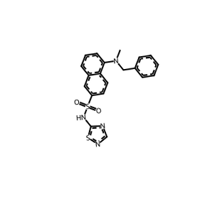 CN(Cc1ccccc1)c1cccc2cc(S(=O)(=O)Nc3ncns3)ccc12